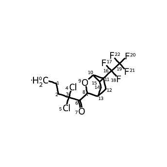 [CH2]CCC(Cl)(Cl)C(=O)[C]1OC2CCC1CC2C(F)(F)C(F)(F)F